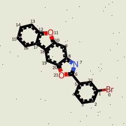 Brc1cccc(-c2nc3cc4oc5ccccc5c4cc3o2)c1